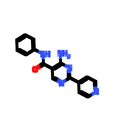 Nc1nc(-c2ccncc2)ncc1C(=O)Nc1ccccc1